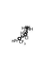 CCCc1ccc(NCc2cc3oc(C4NN=NN4)cc3cc2Cl)cc1C(F)(F)F